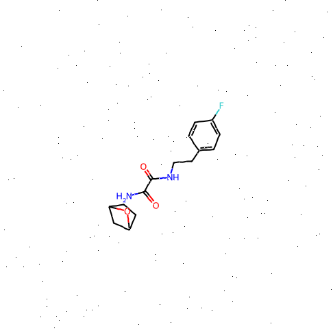 C1CC2CC1O2.NC(=O)C(=O)NCCc1ccc(F)cc1